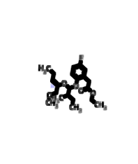 CC/C=C(/COC)OC(Oc1ccc(F)cc1CC(=O)OCC)C(C)CC